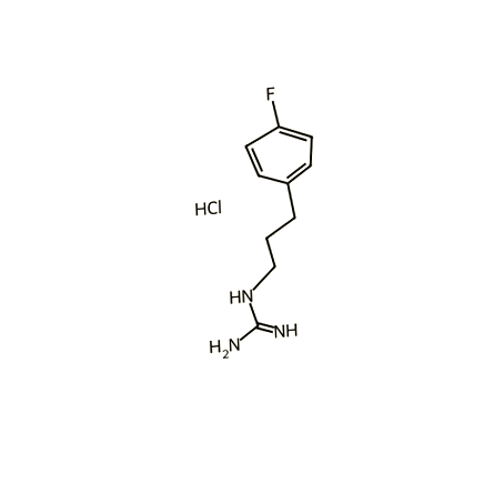 Cl.N=C(N)NCCCc1ccc(F)cc1